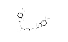 CN(C)c1ccc2sc(SOC(=O)CCC(=O)OSc3nc4cc(N(C)C)ccc4s3)nc2c1